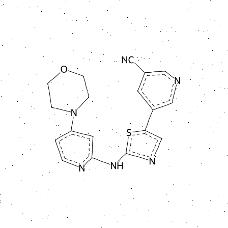 N#Cc1cncc(-c2cnc(Nc3cc(N4CCOCC4)ccn3)s2)c1